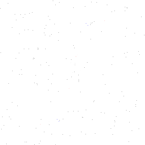 CC(C)(c1ccccc1Oc1ccc(N=C=O)cc1)c1ccccc1Oc1ccc(N=C=O)cc1